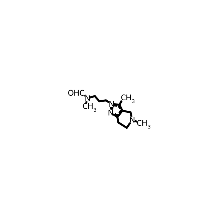 Cc1c2c(nn1CCCN(C)C=O)CCN(C)C2